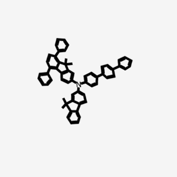 CC1(C)c2ccccc2-c2ccc(N(c3ccc(-c4ccc(-c5ccccc5)cc4)cc3)c3ccc4c(c3)C(C)(C)c3c(-c5ccccc5)ccc(-c5ccccc5)c3-4)cc21